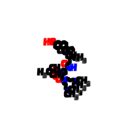 C[C@H](CCC(=O)NC1C[C@@H](C(=O)N(CCCN(C)C)CCCN(C)C)N(C(=O)OC(C)(C)C)C1)[C@H]1CCC2C3CCC4C[C@H](O)CC[C@]4(C)C3CC[C@@]21C